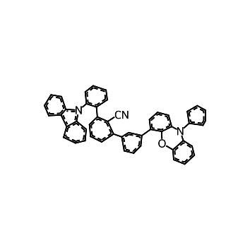 N#Cc1c(-c2cccc(-c3cccc4c3Oc3ccccc3N4c3ccccc3)c2)cccc1-c1ccccc1-n1c2ccccc2c2ccccc21